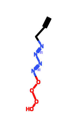 C#CC/N=N/N=N/OOOO